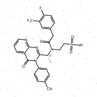 CC(C)S(=O)(=O)CCN(C(=O)Cc1ccc(F)c(C(F)(F)F)c1)[C@H](C)c1nc2ncccc2c(=O)n1-c1ccc(C#N)cc1